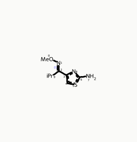 CO/N=C(/c1csc(N)n1)C(C)C